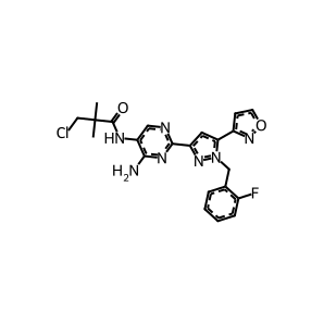 CC(C)(CCl)C(=O)Nc1cnc(-c2cc(-c3ccon3)n(Cc3ccccc3F)n2)nc1N